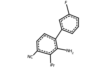 CC(C)c1c(C#N)ccc(-c2cccc(F)c2)c1N